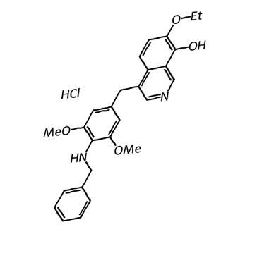 CCOc1ccc2c(Cc3cc(OC)c(NCc4ccccc4)c(OC)c3)cncc2c1O.Cl